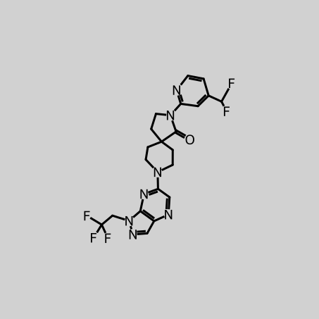 O=C1N(c2cc(C(F)F)ccn2)CCC12CCN(c1cnc3cnn(CC(F)(F)F)c3n1)CC2